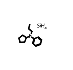 CCCN(c1ccccc1)C1CCCC1.[SiH4]